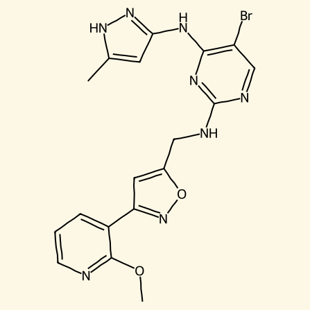 COc1ncccc1-c1cc(CNc2ncc(Br)c(Nc3cc(C)[nH]n3)n2)on1